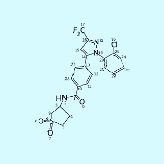 O=C(NC1CCS(=O)(=O)C1)c1ccc(-c2cc(C(F)(F)F)nn2-c2ccccc2Cl)cc1